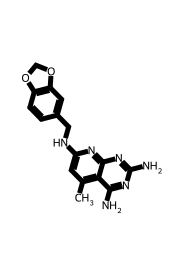 Cc1cc(NCc2ccc3c(c2)OCO3)nc2nc(N)nc(N)c12